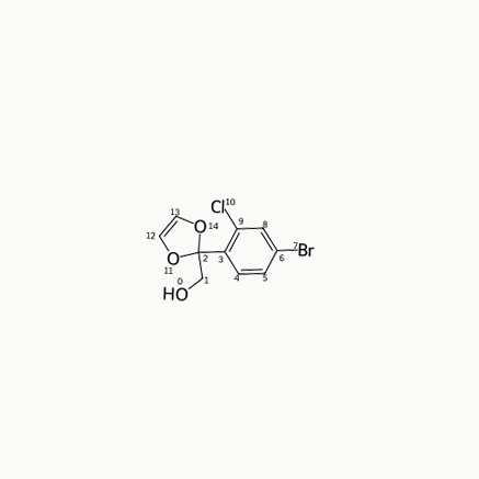 OCC1(c2ccc(Br)cc2Cl)OC=CO1